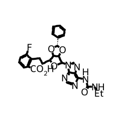 CCNC(=O)Nc1ncnc2c1ncn2C1OC(CCc2c(F)cccc2C(=O)O)C2O[C@H](c3ccccc3)OC21